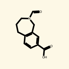 O=CN1CCCc2ccc(C(=O)O)cc2C1